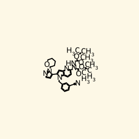 CC(C)(C)OC(=O)NN(C(=O)OC(C)(C)C)c1ccc2c(cc(-c3ccnn3C3CCCCO3)n2Cc2cccc(C#N)c2)n1